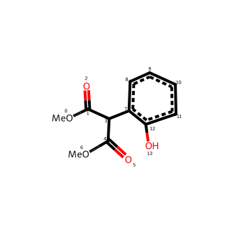 COC(=O)C(C(=O)OC)c1ccccc1O